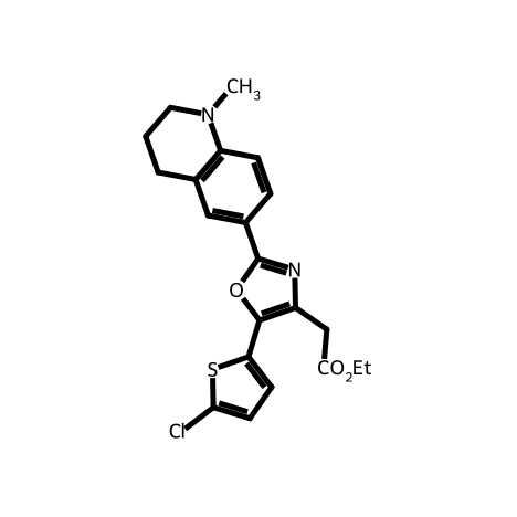 CCOC(=O)Cc1nc(-c2ccc3c(c2)CCCN3C)oc1-c1ccc(Cl)s1